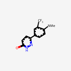 CNc1ccc(-c2ccc(=O)[nH]n2)cc1C(F)(F)F